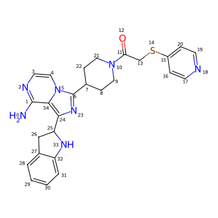 Nc1nccn2c(C3CCN(C(=O)CSc4ccncc4)CC3)nc(C3Cc4ccccc4N3)c12